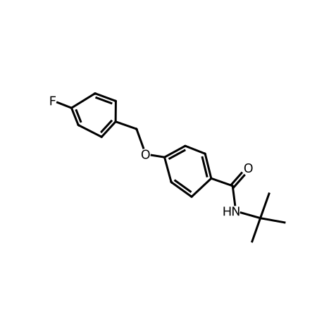 CC(C)(C)NC(=O)c1ccc(OCc2ccc(F)cc2)cc1